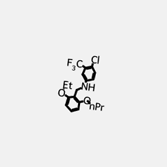 CCCOc1cccc(OCC)c1CNc1ccc(Cl)c(C(F)(F)F)c1